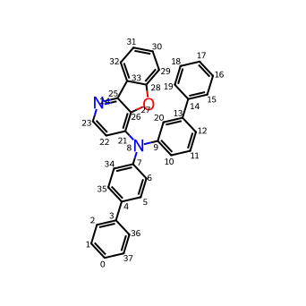 c1ccc(-c2ccc(N(c3cccc(-c4ccccc4)c3)c3ccnc4c3oc3ccccc34)cc2)cc1